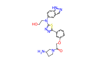 NC1CCN(C(=O)COc2cccc(-c3nnc(N(CCO)c4ccc5[nH]ncc5c4)s3)c2)C1